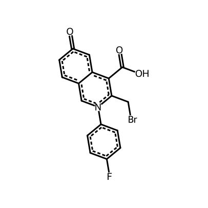 O=C(O)c1c2cc(=O)ccc-2cn(-c2ccc(F)cc2)c1CBr